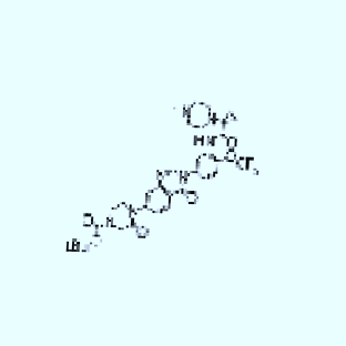 CN1CCN(C2(C(=O)Nc3cc(-n4cnc5cc(N6CCN(C(=O)OC(C)(C)C)CC6=O)ccc5c4=O)ccc3OC(F)(F)F)CC2)CC1